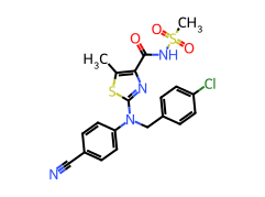 Cc1sc(N(Cc2ccc(Cl)cc2)c2ccc(C#N)cc2)nc1C(=O)NS(C)(=O)=O